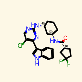 O=C(N[C@H]1CCC[C@@H](Nc2ncc(Cl)c(-c3c[nH]c4ccccc34)n2)C1)[C@@H]1CCC(F)(F)C1